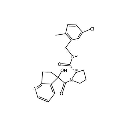 Cc1ccc(Cl)cc1CNC(=O)[C@@H]1CCCN1C(=O)C1(O)CCc2ncccc21